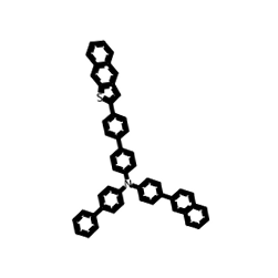 c1ccc(-c2ccc(N(c3ccc(-c4ccc(-c5cc6cc7ccccc7cc6s5)cc4)cc3)c3ccc(-c4ccc5ccccc5c4)cc3)cc2)cc1